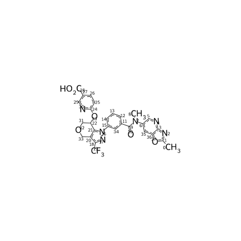 Cc1nc2ncc(N(C)C(=O)c3cccc(-n4nc(C(F)(F)F)c5c4C(Oc4ccc(C(=O)O)cn4)COC5)c3)cc2o1